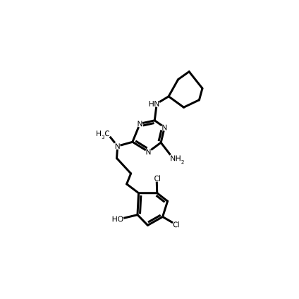 CN(CCCc1c(O)cc(Cl)cc1Cl)c1nc(N)nc(NC2CCCCC2)n1